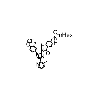 CCCCCCC(=O)NCc1ccc(C(=O)Nc2nc(-c3ncccc3C)nn2-c2ccc(OC(F)(F)F)cc2)cc1